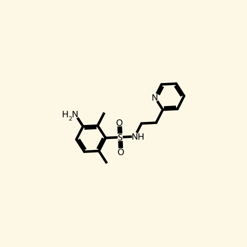 Cc1ccc(N)c(C)c1S(=O)(=O)NCCc1ccccn1